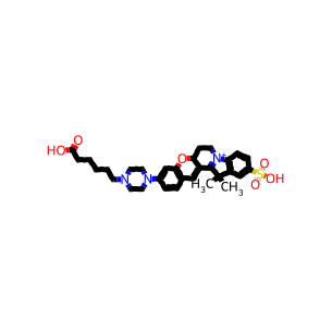 CC1(C)C2=[N+](CCC3Oc4cc(N5CCN(CCCCCC(=O)O)CC5)ccc4C=C23)c2ccc(S(=O)(=O)O)cc21